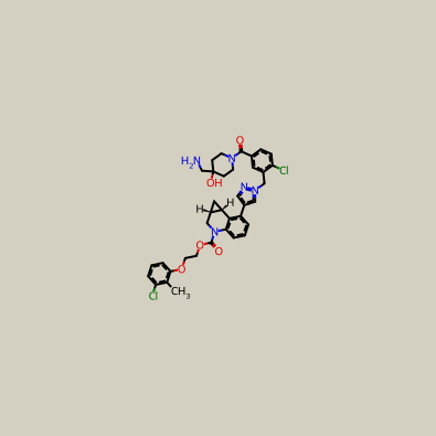 Cc1c(Cl)cccc1OCCOC(=O)N1C[C@@H]2C[C@@H]2c2c(-c3cnn(Cc4cc(C(=O)N5CCC(O)(CN)CC5)ccc4Cl)c3)cccc21